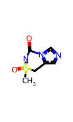 CS1(=O)=NC(=O)n2cncc2C1